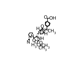 C[C@@H](c1ccc(C(=O)O)cc1)N1C(=O)[C@@H]2C[C@H]1CN2C[C@H](NC(=O)OC(C)(C)C)C(=O)N1CCC[C@H]1C#N